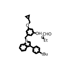 CC(C)(C)c1ccc(-c2cn(Cc3cc(O)cc(OCC4CC4)c3)c3ccccc23)cc1.CCOC=O